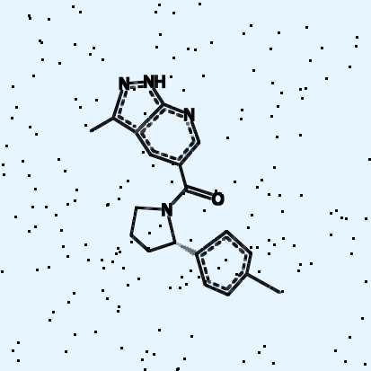 Cc1ccc([C@@H]2CCCN2C(=O)c2cnc3[nH]nc(C)c3c2)cc1